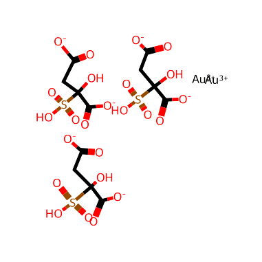 O=C([O-])CC(O)(C(=O)[O-])S(=O)(=O)O.O=C([O-])CC(O)(C(=O)[O-])S(=O)(=O)O.O=C([O-])CC(O)(C(=O)[O-])S(=O)(=O)O.[Au+3].[Au+3]